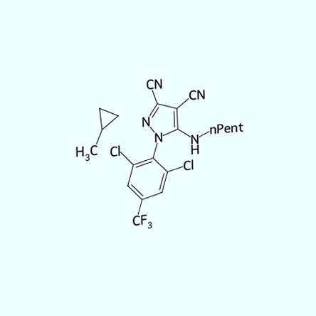 CC1CC1.CCCCCNc1c(C#N)c(C#N)nn1-c1c(Cl)cc(C(F)(F)F)cc1Cl